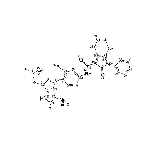 C[C@H](O)Cn1cc(-c2ccc(NC(=O)c3c4n(n(-c5ccccc5)c3=O)CCOC4)cc2F)c2c1NNC2N